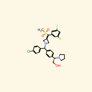 CS(=O)(=O)C(=C1CN(C(c2ccc(Cl)cc2)c2ccc([C@H](CO)N3CCCC3)cc2)C1)c1cc(F)cc(F)c1